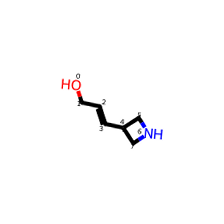 OCC=C[C]1CNC1